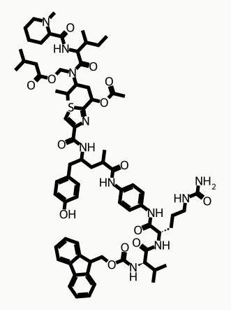 CCC(C)C(NC(=O)C1CCCCN1C)C(=O)N(COC(=O)CC(C)C)C(CC(OC(C)=O)c1nc(C(=O)NC(Cc2ccc(O)cc2)CC(C)C(=O)Nc2ccc(NC(=O)[C@H](CCCNC(N)=O)NC(=O)[C@@H](NC(=O)OCC3c4ccccc4-c4ccccc43)C(C)C)cc2)cs1)C(C)C